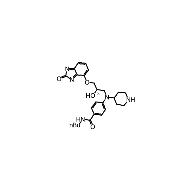 CCCCNC(=O)c1ccc(N(C[C@@H](O)COc2cccc3c2=NC(=O)N=3)C2CCNCC2)cc1